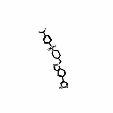 O=S(=O)(c1ccc(C(F)F)cc1)N1CCC(Cn2ncc3cc(-c4cn[nH]c4)ccc32)CC1